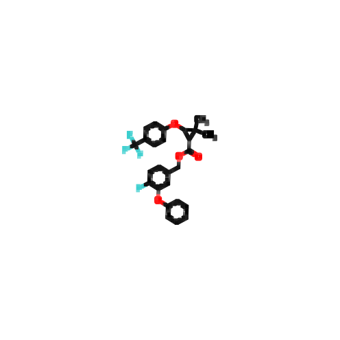 CC1(C)C(Oc2ccc(C(F)(F)F)cc2)C1C(=O)OCc1ccc(F)c(Oc2ccccc2)c1